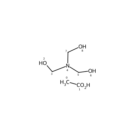 CC(=O)O.OCN(CO)CO